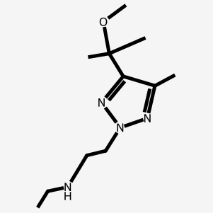 CCNCCn1nc(C)c(C(C)(C)OC)n1